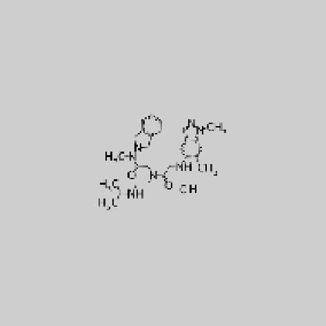 Cc1cc2c(cnn2C)cc1NCC(=O)N(CCNC(C)C)CC(=O)N(C)N1Cc2ccccc2C1.Cl